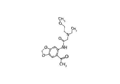 CCN(CCOC)CC(=O)Nc1cc2c(cc1C(C)=O)OCO2